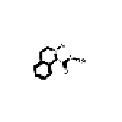 CC(=O)N1CCc2ccccc2[C@H]1C(=O)NC(C)(C)C